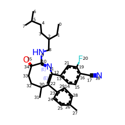 CCC(CCC(C)C)CN/C1=N/C(c2ccc(C#N)c(F)c2)=C(/c2ccc(C)cc2)C(C)CCC1=O